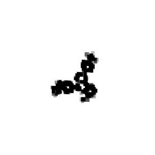 COc1cc(C2CN(c3ccc(C(F)(F)F)cc3)CCN2C(=O)c2ccc(C3(O)COC3)cc2)ccn1